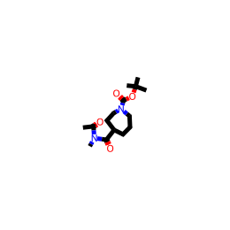 CC(=O)N(C)C(=O)C1CCCN(C(=O)OC(C)(C)C)CC1